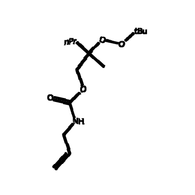 C=CCNC(=O)OCC(C)(CCC)OOC(C)(C)C